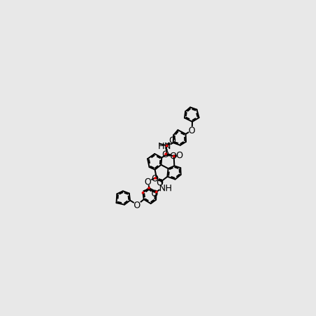 CC(=O)OC(=O)c1cccc(C(=O)Nc2ccc(Oc3ccccc3)cc2)c1-c1c(C(=O)Nc2ccc(Oc3ccccc3)cc2)cccc1C(=O)OC(C)=O